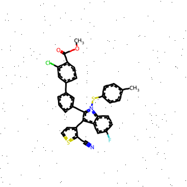 COC(=O)c1ccc(-c2cccc(-c3c(-c4ccsc4C#N)c4cc(F)ccc4n3Sc3ccc(C)cc3)c2)cc1Cl